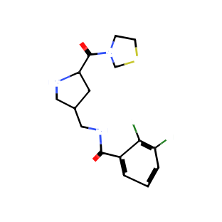 O=C(NCC1CNC(C(=O)N2CCSC2)C1)c1cccc(Cl)c1Cl